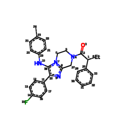 CCC(C(=O)N1CCn2c(nc(-c3ccc(F)cc3)c2Nc2ccc(C)cc2)C1)c1ccccc1